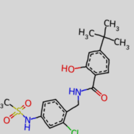 CC(C)(C)c1ccc(C(=O)NCc2ccc(NS(C)(=O)=O)cc2Cl)c(O)c1